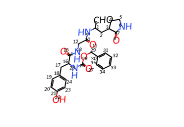 O=CC(CC1CCNC1=O)NC(=O)CNC(=O)C(Cc1ccc(O)cc1)NC(=O)OCc1ccccc1